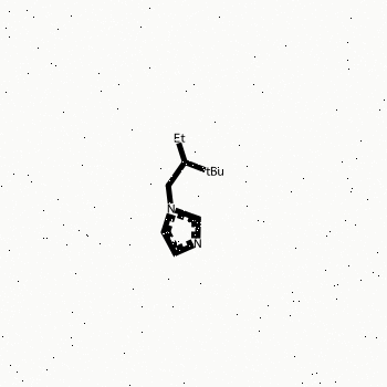 CCC(Cn1ccnc1)C(C)(C)C